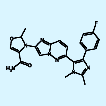 Cc1nc(-c2ccc(F)cc2)c(-c2ccc3nc(N4C(C(N)=O)=COC4C)cn3n2)n1C